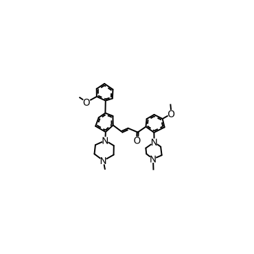 COc1ccc(C(=O)C=Cc2cc(-c3ccccc3OC)ccc2N2CCN(C)CC2)c(N2CCN(C)CC2)c1